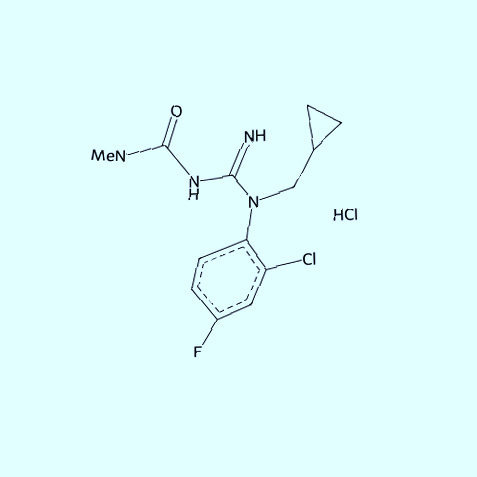 CNC(=O)NC(=N)N(CC1CC1)c1ccc(F)cc1Cl.Cl